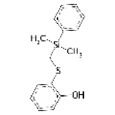 C[Si](C)(CSc1ccccc1O)c1ccccc1